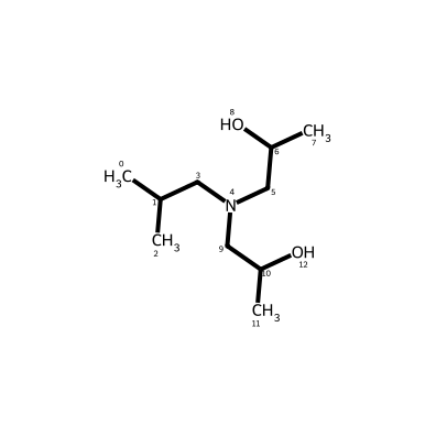 CC(C)CN(CC(C)O)CC(C)O